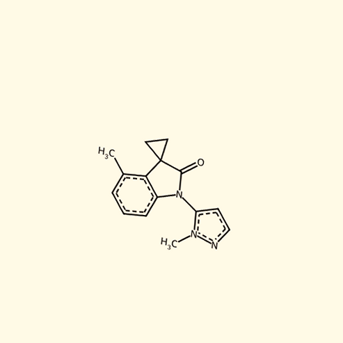 Cc1cccc2c1C1(CC1)C(=O)N2c1ccnn1C